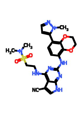 CN(C)S(=O)(=O)CCNc1nc(Nc2ccc(-c3ccnn3C)c3c2OCCO3)nc2[nH]cc(C#N)c12